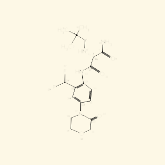 CC(C)(C)CN[C@H](C(N)=O)C(=O)Nc1ccc(N2CCOCC2=O)cc1C(F)F